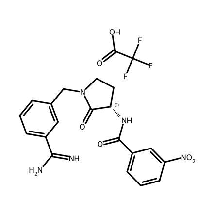 N=C(N)c1cccc(CN2CC[C@H](NC(=O)c3cccc([N+](=O)[O-])c3)C2=O)c1.O=C(O)C(F)(F)F